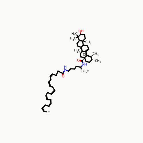 CC/C=C\C/C=C\C/C=C\C/C=C\C/C=C\C/C=C\CCC(=O)NCCCCC(NC(=O)[C@]12CC[C@@H](C)[C@H](C)C1C1=CCC3[C@@]4(C)CC[C@H](O)C(C)(C)C4CC[C@@]3(C)[C@]1(C)CC2)C(=O)O